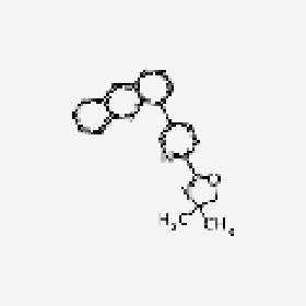 CC1(C)COC(c2ccc(-c3cccc4cc5ccccc5cc34)cn2)=N1